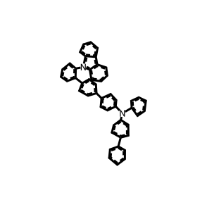 c1ccc(-c2ccc(N(c3ccccc3)c3ccc(-c4ccc(-c5ccccc5-n5c6ccccc6c6ccccc65)cc4)cc3)cc2)cc1